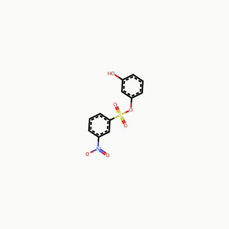 O=[N+]([O-])c1cccc(S(=O)(=O)Oc2cccc(O)c2)c1